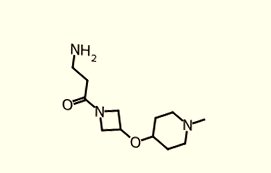 CN1CCC(OC2CN(C(=O)CCN)C2)CC1